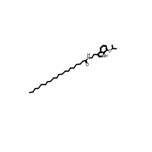 CCCCCCCCCCCCCCCCCCCC(=O)NCCc1c[nH]c2c(OC(C)C)cccc12